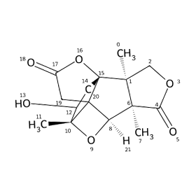 C[C@]12COC(=O)[C@@]1(C)[C@H]1O[C@]3(C)C(O)C[C@@]24OC(=O)CC143